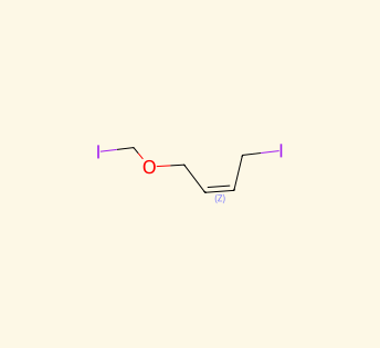 IC/C=C\COCI